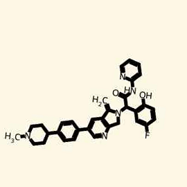 C=C1c2cc(-c3ccc(C4CCN(C)CC4)cc3)cnc2CN1C(C(=O)Nc1ccccn1)c1cc(F)ccc1O